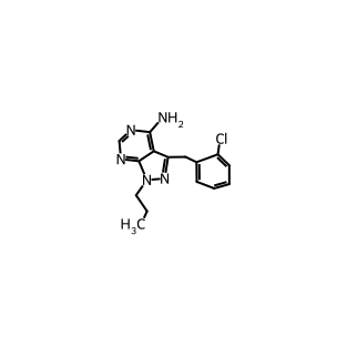 CCCn1nc(Cc2ccccc2Cl)c2c(N)ncnc21